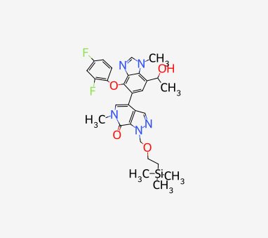 CC(O)c1cc(-c2cn(C)c(=O)c3c2cnn3COCC[Si](C)(C)C)c(Oc2ccc(F)cc2F)c2ncn(C)c12